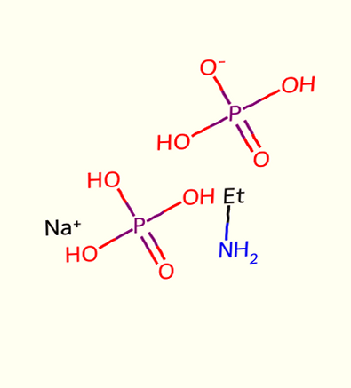 CCN.O=P(O)(O)O.O=P([O-])(O)O.[Na+]